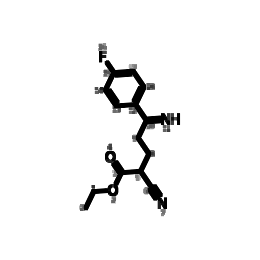 CCOC(=O)C(C#N)CCC(=N)c1ccc(F)cc1